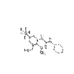 COc1c(CO)cc(S(F)(F)(F)(F)F)cc1NC(=O)NC1CCCCC1